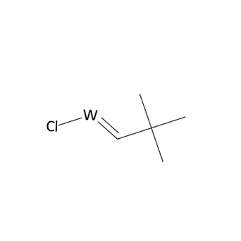 CC(C)(C)[CH]=[W][Cl]